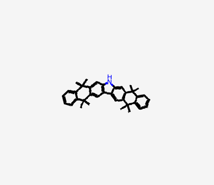 CC1(C)c2ccccc2C(C)(C)c2cc3c(cc21)[nH]c1cc2c(cc13)C(C)(C)c1ccccc1C2(C)C